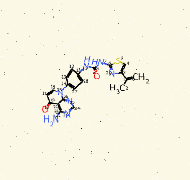 C=C(C)c1csc(NC(=O)Nc2ccc(-n3ccc(=O)c4c(N)ncnc43)cc2)n1